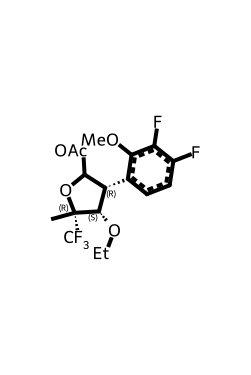 CCO[C@H]1[C@@H](c2ccc(F)c(F)c2OC)C(OC(C)=O)O[C@@]1(C)C(F)(F)F